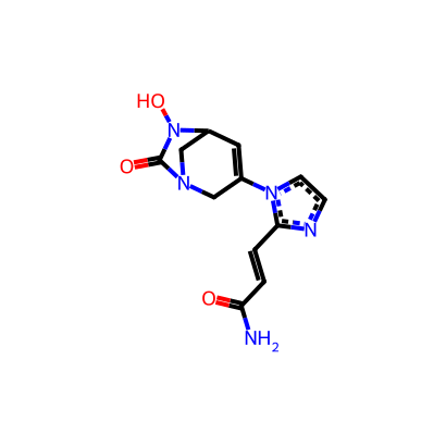 NC(=O)/C=C/c1nccn1C1=CC2CN(C1)C(=O)N2O